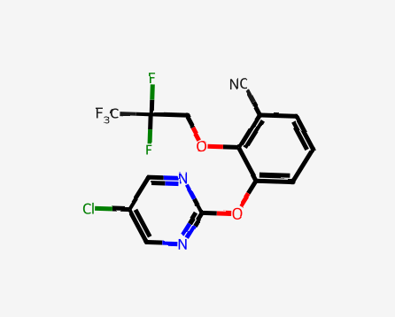 N#Cc1cccc(Oc2ncc(Cl)cn2)c1OCC(F)(F)C(F)(F)F